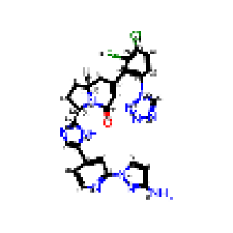 Nc1ccn(-c2cc(-c3cnc([C@H]4CC[C@@H]5CC(c6c(-n7cnnn7)ccc(Cl)c6F)=CC(=O)N54)[nH]3)ccn2)n1